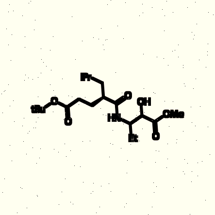 CCC(NC(=O)[C@@H](CCC(=O)OC(C)(C)C)CC(C)C)C(O)C(=O)OC